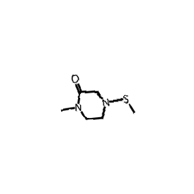 CSN1CCN(C)C(=O)C1